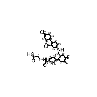 O=C(O)CCNC(=O)c1ccc(-c2cc(F)c(F)cc2CNc2ccc(-c3ccc(Cl)cc3F)c(Cl)c2)cn1